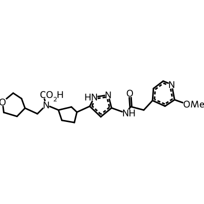 COc1cc(CC(=O)Nc2cc(C3CCC(N(CC4CCOCC4)C(=O)O)C3)[nH]n2)ccn1